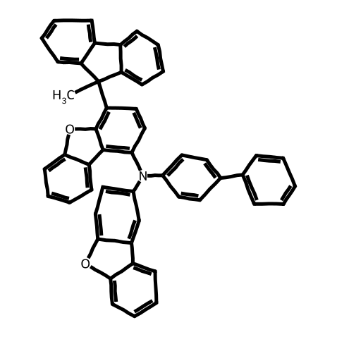 CC1(c2ccc(N(c3ccc(-c4ccccc4)cc3)c3ccc4oc5ccccc5c4c3)c3c2oc2ccccc23)c2ccccc2-c2ccccc21